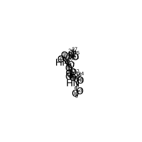 COC(=O)CCNC(=O)[C@@H]1O[P@](=O)(OCOC(=O)N[C@@H](CSC(=O)C(C)(C)C)C(=O)O)OCC1(C)C